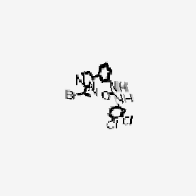 O=C(Nc1cccc(-c2ccnc3c(Br)cnn23)c1)Nc1ccc(Cl)c(Cl)c1